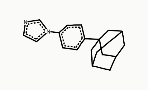 c1cn(-c2ccc(C34CC5CC(CC(C5)C3)C4)cc2)cn1